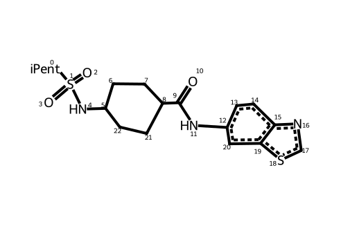 CCCC(C)S(=O)(=O)NC1CCC(C(=O)Nc2ccc3ncsc3c2)CC1